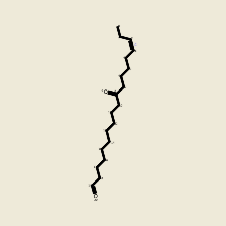 CC/C=C\CCCCC(=O)CCCCCCCCCC=O